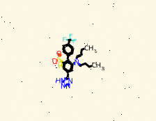 CCCCN(CCCC)c1cc(-c2nnn[nH]2)cc([SH](=O)=O)c1-c1ccc(C(F)(F)F)cc1